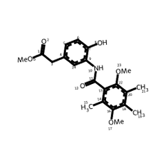 COC(=O)Cc1ccc(O)c(NC(=O)c2c(C)c(OC)c(C)c(C)c2OC)c1